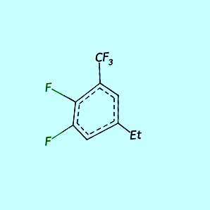 CCc1cc(F)c(F)c(C(F)(F)F)c1